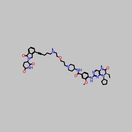 CC[C@@H]1C(=O)N(C)c2cnc(Nc3ccc(C(=O)NC4CCN(CCCOCCN(C)CCCC#Cc5cccc6c5CN(C5CCC(=O)NC5=O)C6=O)CC4)cc3OC)nc2N1C1CCCC1